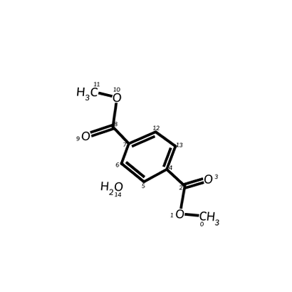 COC(=O)c1ccc(C(=O)OC)cc1.O